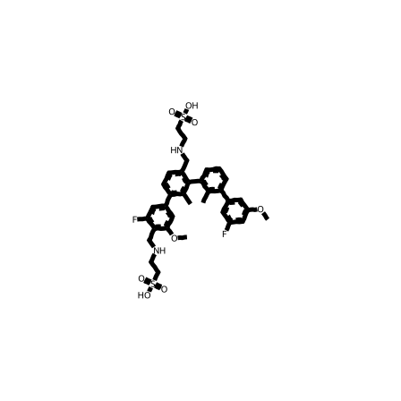 COc1cc(F)cc(-c2cccc(-c3c(CNCCS(=O)(=O)O)ccc(-c4cc(F)c(CNCCS(=O)(=O)O)c(OC)c4)c3C)c2C)c1